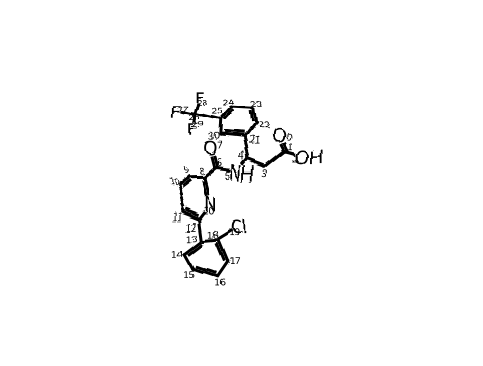 O=C(O)CC(NC(=O)c1cccc(-c2ccccc2Cl)n1)c1cccc(C(F)(F)F)c1